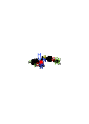 CC(NC(=O)c1csc(-c2ccc(OCC(F)(F)C(F)F)cc2)n1)C(O)(Cn1cncn1)c1ccc(F)cc1F